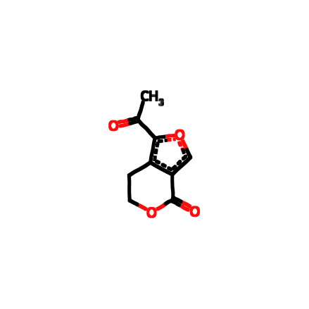 CC(=O)c1occ2c1CCOC2=O